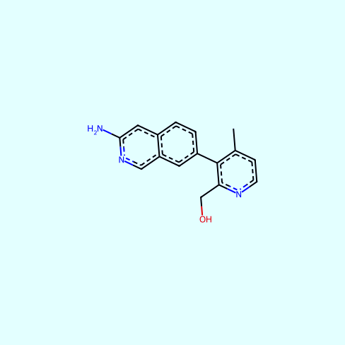 Cc1ccnc(CO)c1-c1ccc2cc(N)ncc2c1